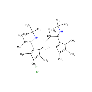 CC1=C(C)C(C)[C]([Ti+]([NH]C(C)(C)C)[SiH](C)C)=C1C.CC1=C(C)C(C)[C]([Ti+]([NH]C(C)(C)C)[SiH](C)C)=C1C.[Cl-].[Cl-]